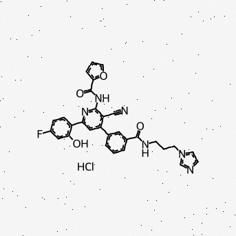 Cl.N#Cc1c(-c2cccc(C(=O)NCCCn3ccnc3)c2)cc(-c2ccc(F)cc2O)nc1NC(=O)c1ccco1